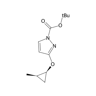 C[C@@H]1C[C@@H]1Oc1ccn(C(=O)OC(C)(C)C)n1